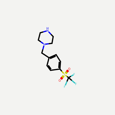 O=S(=O)(c1ccc(CN2CCNCC2)cc1)C(F)(F)F